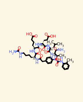 Cc1ccccc1NC(=O)Nc1ccc(CC(=O)N[C@@H](CCCCNC(N)=O)C(=O)N[C@@H](CCCC(=O)O)C(=O)N[C@H](CCC(=O)O)C(=O)N[C@H](CC(C)C)C(=O)N[C@H](C(N)=O)C(C)O)cc1